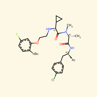 CCCCc1ccc(F)cc1OCCN[C@H](C(=O)N(C)[C@H](C)C(=O)N[C@H](Cc1ccc(Cl)cc1)C(C)=O)C1CC1